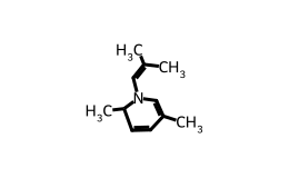 CC(C)=CN1C=C(C)C=CC1C